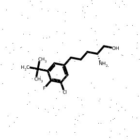 CC(C)(C)c1cc(CCC[C@@H](N)CO)cc(Cl)c1F